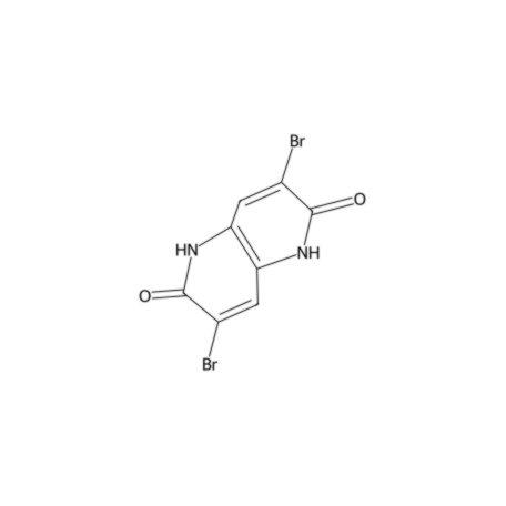 O=c1[nH]c2cc(Br)c(=O)[nH]c2cc1Br